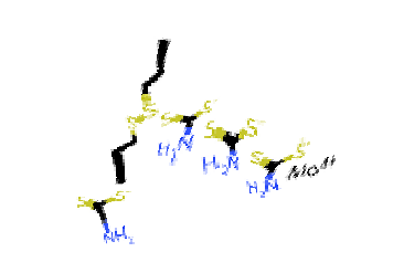 C=CCSSCC=C.NC(=S)[S-].NC(=S)[S-].NC(=S)[S-].NC(=S)[S-].[Mo+4]